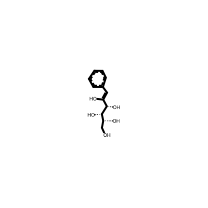 OC[C@@H](O)[C@H](O)[C@@H](O)C(O)=Cc1ccccc1